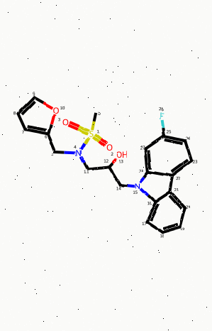 CS(=O)(=O)N(Cc1ccco1)CC(O)Cn1c2ccccc2c2ccc(F)cc21